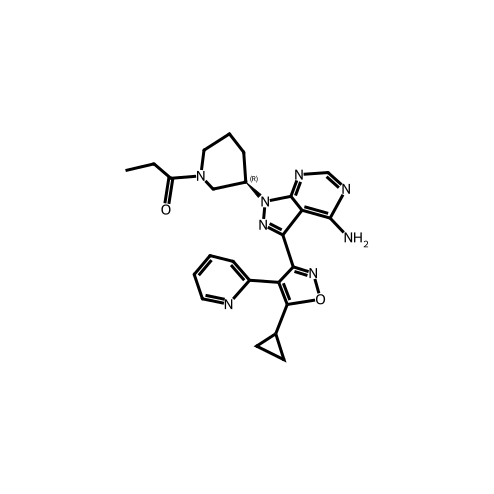 CCC(=O)N1CCC[C@@H](n2nc(-c3noc(C4CC4)c3-c3ccccn3)c3c(N)ncnc32)C1